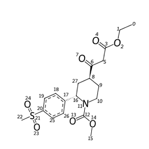 CCOC(=O)CC(=O)[C@H]1CCN(C(=O)OC)[C@H](c2ccc(S(C)(=O)=O)cc2)C1